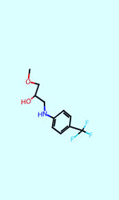 COCC(O)CNc1ccc(C(F)(F)F)cc1